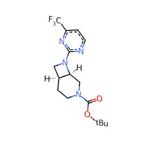 CC(C)(C)OC(=O)N1CC[C@H]2CN(c3nccc(C(F)(F)F)n3)[C@H]2C1